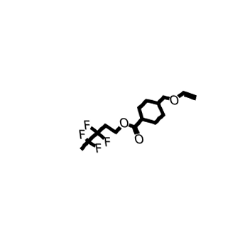 C=COCC1CCC(C(=O)OCCC(F)(F)C(C)(F)F)CC1